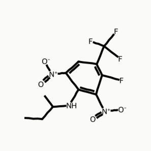 CCC(C)Nc1c([N+](=O)[O-])cc(C(F)(F)F)c(F)c1[N+](=O)[O-]